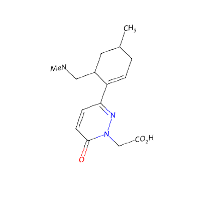 CNCC1CC(C)CC=C1c1ccc(=O)n(CC(=O)O)n1